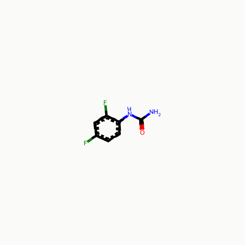 NC(=O)Nc1ccc(F)cc1F